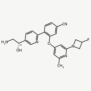 Cc1cc(Oc2cc(C#N)ccc2-c2ccc([C@H](O)CN)cn2)cc(N2CC(F)C2)n1